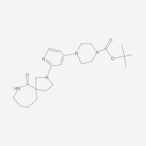 CC(C)(C)OC(=O)N1CCN(c2ccnc(N3CCC4(CCCCNC4=O)C3)c2)CC1